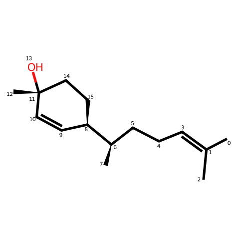 CC(C)=CCC[C@@H](C)[C@H]1C=C[C@](C)(O)CC1